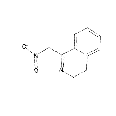 O=[N+]([O-])CC1=NCCc2ccccc21